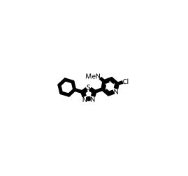 CNc1cc(Cl)ncc1-c1nnc(C2CCCCC2)s1